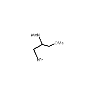 CCCCC(COC)NC